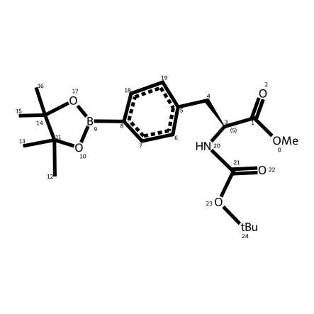 COC(=O)[C@H](Cc1ccc(B2OC(C)(C)C(C)(C)O2)cc1)NC(=O)OC(C)(C)C